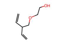 C=CC(C=C)COCCO